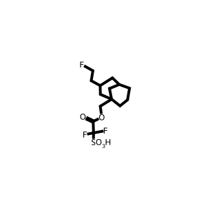 O=C(OCC12CCCC(CC(CCF)C1)C2)C(F)(F)S(=O)(=O)O